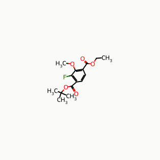 CCOC(=O)c1ccc(C(=O)OC(C)(C)C)c(F)c1OC